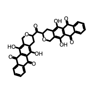 O=C1c2ccccc2C(=O)c2c(O)c3c(c(O)c21)COC(C(=O)C1Cc2c(O)c4c(c(O)c2CO1)C(=O)c1ccccc1C4=O)C3